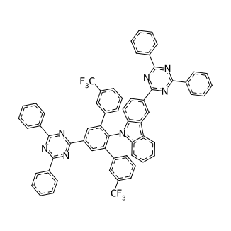 FC(F)(F)c1cccc(-c2cc(-c3nc(-c4ccccc4)nc(-c4ccccc4)n3)cc(-c3cccc(C(F)(F)F)c3)c2-n2c3ccccc3c3cc(-c4nc(-c5ccccc5)nc(-c5ccccc5)n4)ccc32)c1